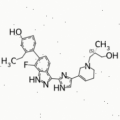 CCc1cc(O)ccc1-c1ccc2c(-c3nc(C4=CCCN(C[C@H](C)CO)C4)c[nH]3)n[nH]c2c1F